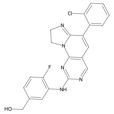 OCc1ccc(F)c(Nc2ncc3c(n2)N2CCN=C2C(c2ccccc2Cl)=C3)c1